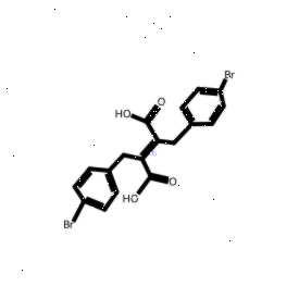 O=C(O)/C(Cc1ccc(Br)cc1)=C(\Cc1ccc(Br)cc1)C(=O)O